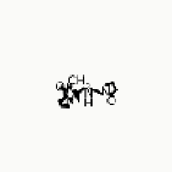 Cn1c(CNCCN2CCCC2=O)nn2cccc2c1=O